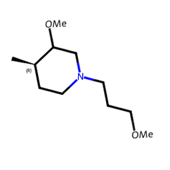 COCCCN1CC[C@@H](C)C(OC)C1